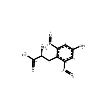 N[C@@H](Cc1c(P=O)cc(O)cc1P=O)C(=O)O